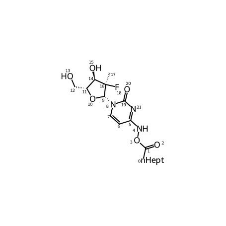 CCCCCCCC(=O)ONc1ccn([C@@H]2O[C@H](CO)[C@@H](O)[C@@]2(C)F)c(=O)n1